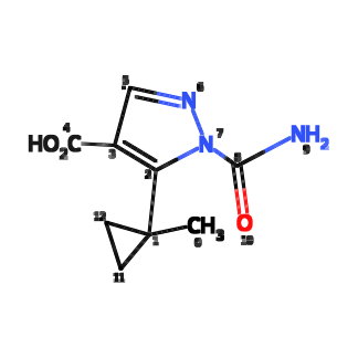 CC1(c2c(C(=O)O)[c]nn2C(N)=O)CC1